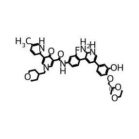 CC1=CNC(c2cn(CC3CCOCC3)cc(C(=O)Nc3ccc(C4=CC(c5ccc(OC[C@@H]6COCCO6)c(O)c5)=CNC4N)c(F)c3)c2=O)C=C1